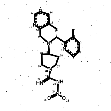 Cc1cccnc1CN(Cc1ncccc1C)C1CCN(C(=N)N[N+](=O)[O-])CC1